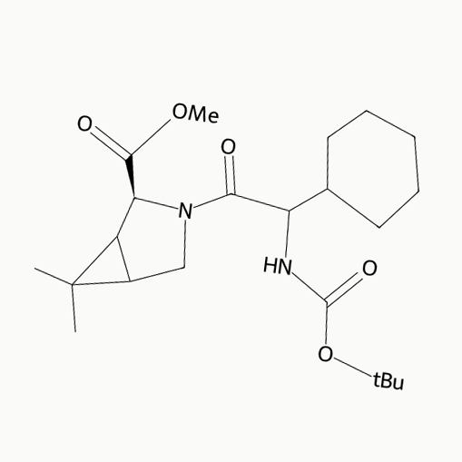 COC(=O)[C@@H]1C2C(CN1C(=O)C(NC(=O)OC(C)(C)C)C1CCCCC1)C2(C)C